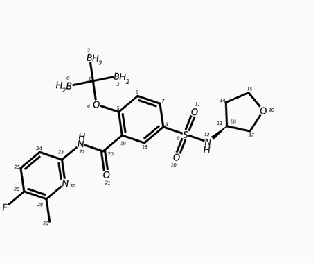 BC(B)(B)Oc1ccc(S(=O)(=O)N[C@H]2CCOC2)cc1C(=O)Nc1ccc(F)c(C)n1